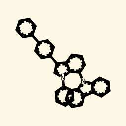 c1ccc(-c2ccc(-c3cn(-c4ccccc4)c4c(-n5c6ccccc6c6ccccc65)cccc34)cc2)cc1